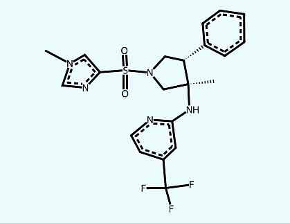 Cn1cnc(S(=O)(=O)N2C[C@H](c3ccccc3)[C@@](C)(Nc3cc(C(F)(F)F)ccn3)C2)c1